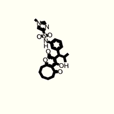 CC(C)C(c1cccc(NS(=O)(=O)c2cn(C)cn2)c1)c1c(O)c2c(oc1=O)CCCCCC2=O